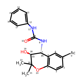 CC(=O)c1ccc2c(c1)[C@@H](NC(=O)Nc1ccccc1)[C@H](O)C(C)(C)O2